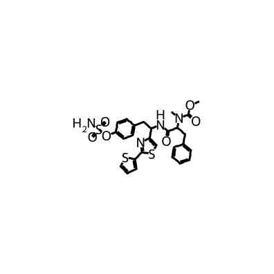 COC(=O)N(C)C(Cc1ccccc1)C(=O)NC(Cc1ccc(OS(N)(=O)=O)cc1)c1csc(-c2cccs2)n1